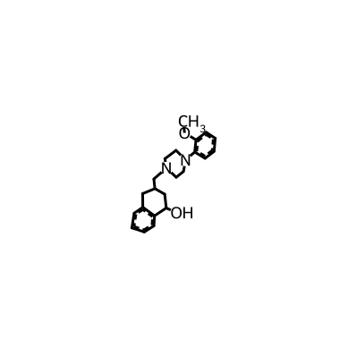 COc1ccccc1N1CCN(CC2Cc3ccccc3C(O)C2)CC1